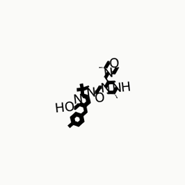 Cc1ccc(Cc2cc3c(nc2CO)C(C)(C)CN3C(=O)CN2C[C@@H](C)NC[C@@H]2CN2CCOC[C@H]2C)cc1